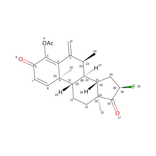 C=C1C2=C(OC(C)=O)C(=O)C=C[C@]2(C)[C@H]2CC[C@]3(C)C(=O)[C@H](F)C[C@H]3[C@@H]2[C@@H]1C